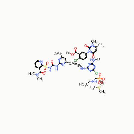 CC(C)OC(=O)c1cc(-n2c(=O)cc(C(F)(F)F)n(C)c2=O)ccc1Cl.CCNc1nc(Cl)nc(NC(C)C)n1.COc1cc(OC)nc(NC(=O)NS(=O)(=O)c2ncccc2C(=O)N(C)C)n1.C[S+](C)C.O=C(O)CNCP(=O)([O-])O